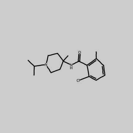 Cc1cccc(Cl)c1C(=O)NC1(C)CCN(C(C)C)CC1